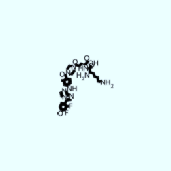 COc1ccc(-c2cnc3c(Nc4ccc(C(=O)N5CCN(C(=O)CC[C@H](NC(=O)[C@@H](N)CCCCN)C(=O)O)CC5)c(C)c4)nccn23)c(F)c1F